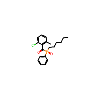 CCCCCCP(=O)(C(=O)c1c(C)cccc1Cl)c1ccccc1